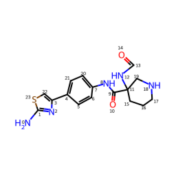 Nc1nc(-c2ccc(NC(=O)C3(NC=O)CCCNC3)cc2)cs1